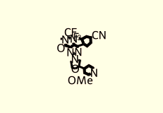 COc1cc(C2CN(c3nc(-c4ccc(C#N)cc4F)c4nc(C(F)(F)F)n(C)c(=O)c4n3)CCO2)ccn1